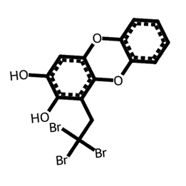 Oc1cc2c(c(CC(Br)(Br)Br)c1O)Oc1ccccc1O2